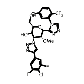 CO[C@@H]1[C@@H](n2cc(-c3cc(F)c(Cl)c(F)c3)nn2)[C@@H](O)[C@@H](CO)O[C@H]1c1nncn1-c1cc(Cl)ccc1C(F)(F)F